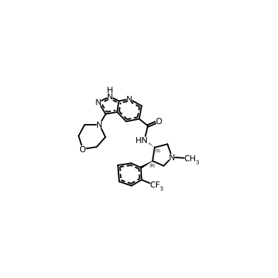 CN1C[C@@H](NC(=O)c2cnc3[nH]nc(N4CCOCC4)c3c2)[C@H](c2ccccc2C(F)(F)F)C1